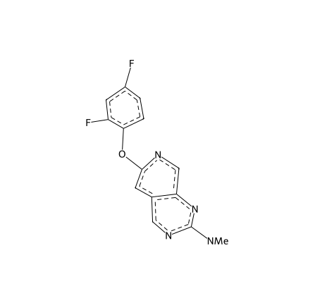 CNc1ncc2cc(Oc3ccc(F)cc3F)ncc2n1